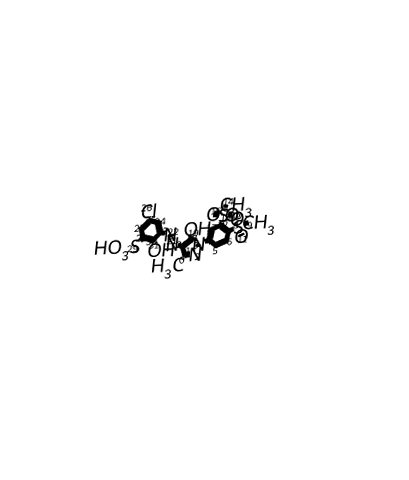 Cc1nn(-c2ccc(S(C)(=O)=O)c(S(C)(=O)=O)c2)c(O)c1N=Nc1cc(Cl)cc(S(=O)(=O)O)c1O